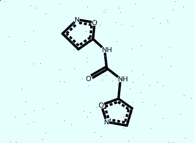 O=C(Nc1ccno1)Nc1ccno1